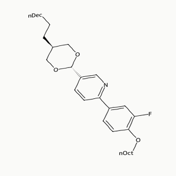 CCCCCCCCCCCC[C@H]1CO[C@H](c2ccc(-c3ccc(OCCCCCCCC)c(F)c3)nc2)OC1